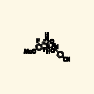 COc1cc(F)c([C@@H]2CNC(=O)[C@H]2Nc2nnc(-c3ccc(C#N)cc3)o2)c(F)c1